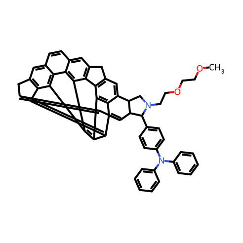 COCCOCCN1CC2c3cc4c5c6c(cc7ccc8cc9c%10c%11c(cc(c%12c3c5c(c%12%11)c3c6c7c8c%103)C2C1c1ccc(N(c2ccccc2)c2ccccc2)cc1)C9)C4